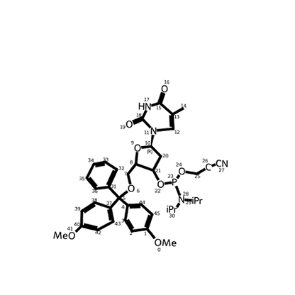 COc1ccc(C(OCC2O[C@@H](n3cc(C)c(=O)[nH]c3=O)CC2OP(OCCC#N)N(C(C)C)C(C)C)(c2ccccc2)c2ccc(OC)cc2)cc1